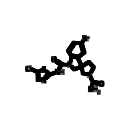 NC(=O)N1CCC2(C1)CN(C(=O)Nc1ncc(Cl)s1)c1ccc(Br)cc12